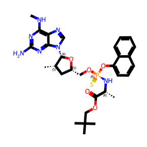 CNc1nc(N)nc2c1ncn2[C@@H]1O[C@H](CO[P@](=S)(N[C@H](C)C(=O)OCC(C)(C)C)Oc2cccc3ccccc23)C[C@@H]1C